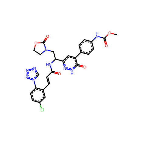 COC(=O)Nc1ccc(-c2cc(C(CN3CCOC3=O)NC(=O)C=Cc3cc(Cl)ccc3-n3cnnn3)n[nH]c2=O)cc1